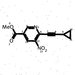 COC(=O)c1cnc(C#CC2CC2)c([N+](=O)[O-])c1